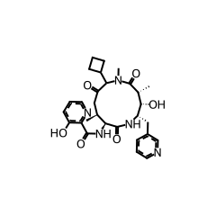 C[C@H]1CC(=O)C(C2CCC2)N(C)C(=O)[C@H](C)[C@H](O)[C@H](Cc2cccnc2)NC(=O)[C@H]1NC(=O)c1ncccc1O